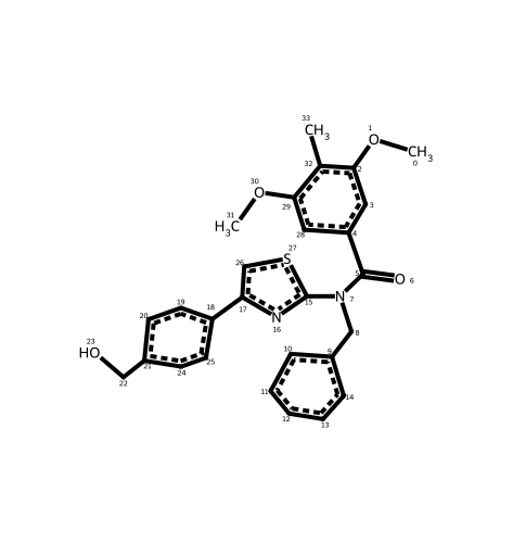 COc1cc(C(=O)N(Cc2ccccc2)c2nc(-c3ccc(CO)cc3)cs2)cc(OC)c1C